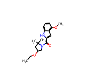 CCOC1CN(C(=O)c2cc3c(OC)cccc3[nH]2)C(C)(C)C1